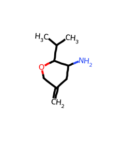 C=C1COC(C(C)C)C(N)C1